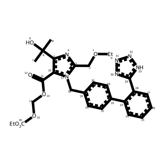 CCOCc1nc(C(C)(C)O)c(C(=O)OCOC(=O)OCC)n1Cc1ccc(-c2ccccc2-c2nnn[nH]2)cc1